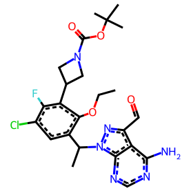 CCOc1c(C(C)n2nc(C=O)c3c(N)ncnc32)cc(Cl)c(F)c1C1CN(C(=O)OC(C)(C)C)C1